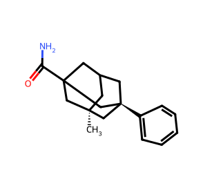 C[C@@]12CC3CC(C(N)=O)(C1)C[C@](c1ccccc1)(C3)C2